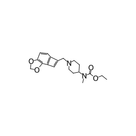 CCOC(=O)N(C)C1CCN(CC2=Cc3c2ccc2c3OCO2)CC1